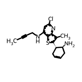 CC#CCNc1cc(Cl)nc2c(C)c([C@H]3CC=CC[C@@H]3N)sc12